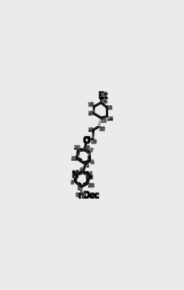 CCCCCCCCCCc1cnc(-c2ccc(OCCC[C@H]3CC[C@H](CC)CC3)cc2)nc1